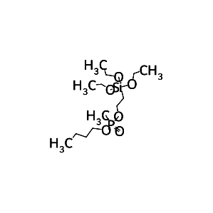 CCCCOP(C)(=O)OCC[Si](OCC)(OCC)OCC